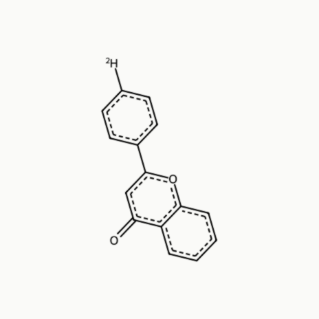 [2H]c1ccc(-c2cc(=O)c3ccccc3o2)cc1